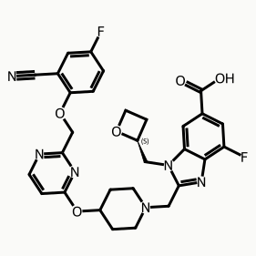 N#Cc1cc(F)ccc1OCc1nccc(OC2CCN(Cc3nc4c(F)cc(C(=O)O)cc4n3C[C@@H]3CCO3)CC2)n1